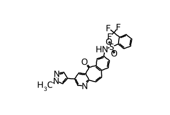 Cn1cc(-c2cnc3ccc4ccc(NS(=O)(=O)c5ccccc5C(F)(F)F)cc4c(=O)c3c2)cn1